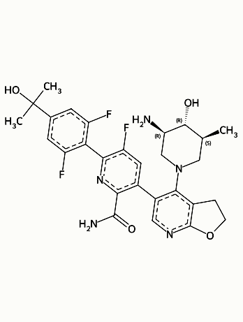 C[C@H]1CN(c2c(-c3cc(F)c(-c4c(F)cc(C(C)(C)O)cc4F)nc3C(N)=O)cnc3c2CCO3)C[C@@H](N)[C@@H]1O